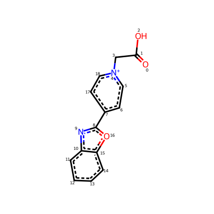 O=C(O)C[n+]1ccc(-c2nc3ccccc3o2)cc1